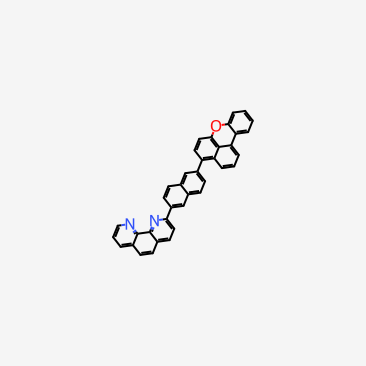 c1ccc2c(c1)Oc1ccc(-c3ccc4cc(-c5ccc6ccc7cccnc7c6n5)ccc4c3)c3cccc-2c13